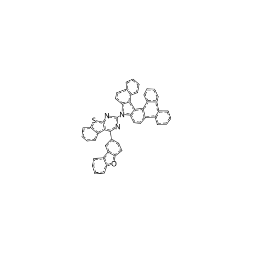 c1ccc2c(c1)ccc1c2c2c3c4ccccc4c4ccccc4c3ccc2n1-c1nc(-c2ccc3oc4ccccc4c3c2)c2c(n1)sc1ccccc12